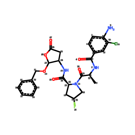 C[C@H](NC(=O)c1ccc(N)c(Cl)c1)C(=O)N1C[C@@H](F)C[C@H]1C(=O)NC1CC(=O)OC1OCc1ccccc1